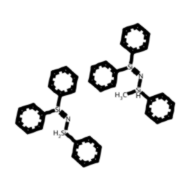 C[SiH](N=[Si](c1ccccc1)c1ccccc1)c1ccccc1.c1ccc([SiH2]N=[Si](c2ccccc2)c2ccccc2)cc1